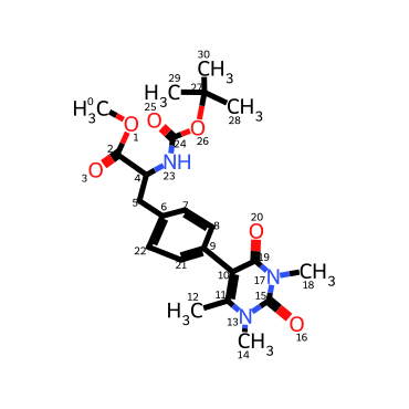 COC(=O)C(Cc1ccc(-c2c(C)n(C)c(=O)n(C)c2=O)cc1)NC(=O)OC(C)(C)C